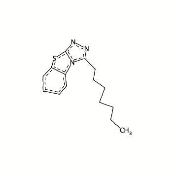 CCCCCCCc1nnc2sc3ccccc3n12